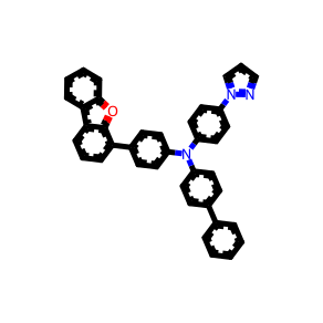 c1ccc(-c2ccc(N(c3ccc(-c4cccc5c4oc4ccccc45)cc3)c3ccc(-n4cccn4)cc3)cc2)cc1